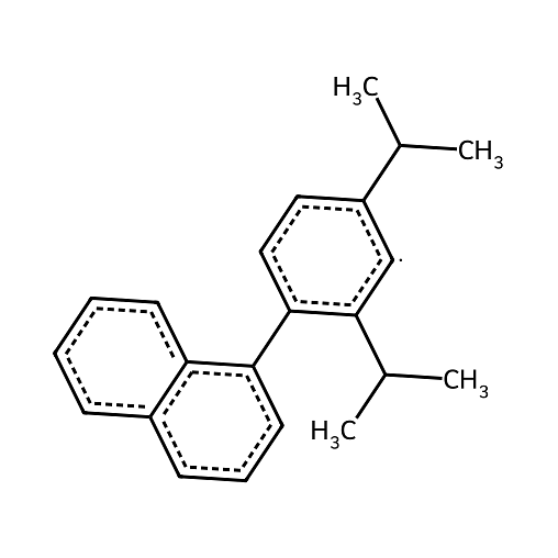 CC(C)c1[c]c(C(C)C)c(-c2cccc3ccccc23)cc1